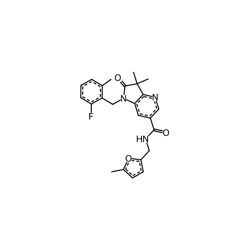 Cc1ccc(CNC(=O)c2cnc3c(c2)N(Cc2c(C)cccc2F)C(=O)C3(C)C)o1